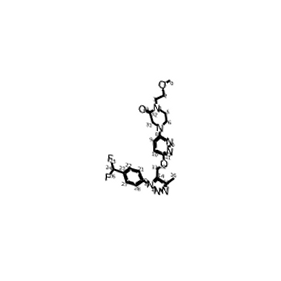 COCCN1CCN(c2ccc(OCc3c(C)nnn3-c3ccc(C(F)F)cc3)nn2)CC1=O